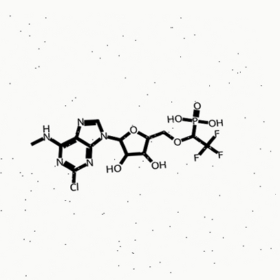 CNc1nc(Cl)nc2c1ncn2C1OC(COC(C(F)(F)F)P(=O)(O)O)C(O)C1O